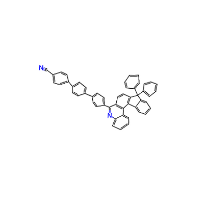 N#Cc1ccc(-c2ccc(-c3ccc(-c4nc5ccccc5c5c6c(ccc45)C(c4ccccc4)(c4ccccc4)c4ccccc4-6)cc3)cc2)cc1